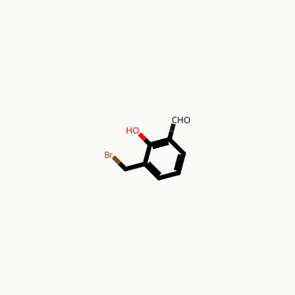 O=Cc1cccc(CBr)c1O